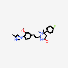 COc1cc(/C=C/C2=NC(=O)CC(C)(c3ccc(F)cc3)N2C)ccc1-n1cnc(C)c1